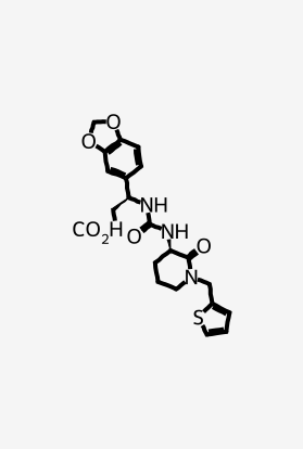 O=C(O)C[C@H](NC(=O)N[C@@H]1CCCN(Cc2cccs2)C1=O)c1ccc2c(c1)OCO2